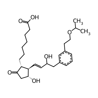 CC(C)OCCc1cccc(CC(O)/C=C/[C@H]2[C@H](O)CC(=O)[C@@H]2CCCCCCC(=O)O)c1